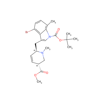 COC(=O)[C@@H]1C=C[C@@H](Cc2cn(C(=O)OC(C)(C)C)c3c(C)ccc(Br)c23)N(C)C1